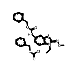 CCn1/c(=N\OC)sc2cc(NC(=O)OCc3ccccc3)ccc21.O=C(Cl)OCc1ccccc1